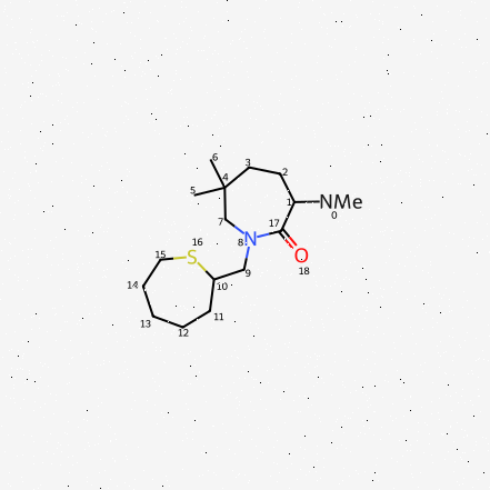 CNC1CCC(C)(C)CN(CC2CCCCCS2)C1=O